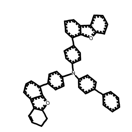 C1=Cc2c(oc3c(-c4ccc(N(c5ccc(-c6ccccc6)cc5)c5ccc(-c6cccc7c6oc6ccccc67)cc5)cc4)cccc23)CC1